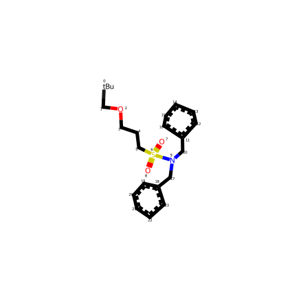 CC(C)(C)COCCCS(=O)(=O)N(Cc1ccccc1)Cc1ccccc1